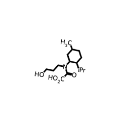 CC1CCC(C(C)C)C(N(CCCO)C(=O)C(=O)O)C1